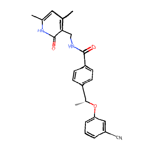 Cc1cc(C)c(CNC(=O)c2ccc([C@@H](C)Oc3cccc(C#N)c3)cc2)c(=O)[nH]1